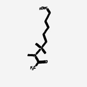 CCCCCCCCCCCCCCC[Si](C)(C)N(C)C(=O)C(F)(F)F